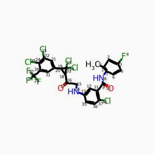 Cc1cc(F)ccc1NC(=O)c1cc(NCC(=O)C2C(c3cc(Cl)c(Cl)c(C(F)(F)F)c3)C2(Cl)Cl)ccc1Cl